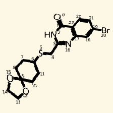 O=c1[nH]c(CSC2CCC3(CC2)OCCO3)nc2cc(Br)ccc12